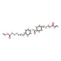 C=COC(=O)CCCCCOc1ccc(SC(=O)c2ccc(OCCOC(=O)C=C)cc2)cc1